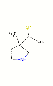 CC(S)C1(C)CCNC1